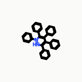 c1ccc(C2=C(c3ccccc3)C(c3ccccc3)=C(c3ccccc3)N(c3ccccc3)N2)cc1